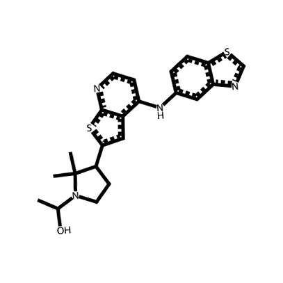 CC(O)N1CCC(c2cc3c(Nc4ccc5scnc5c4)ccnc3s2)C1(C)C